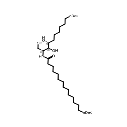 CCCCCCCCCCCCCCCCCCCCCCCC(=O)N[C@@H](CO)[C@H](O)[C@H](O)CCCCCCCCCCCCCCCC